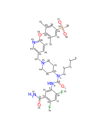 CCCCCN(C(=O)Nc1cc(C(N)=O)c(F)cc1F)C1CCN(Cc2ccc(Oc3c(C)cc(S(C)(=O)=O)cc3C)nc2)CC1